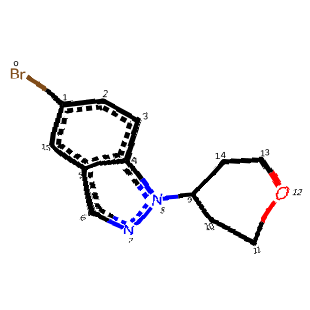 Brc1ccc2c(cnn2C2CCOCC2)c1